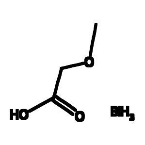 COCC(=O)O.[BiH3]